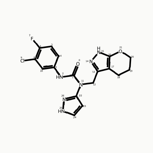 O=C(Nc1ccc(F)c(Cl)c1)N(Cc1n[nH]c2c1CCCO2)c1cc[nH]n1